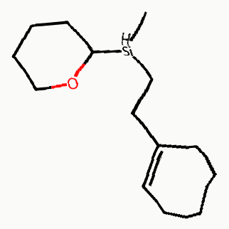 C[SiH](CCC1=CCCCC1)C1CCCCO1